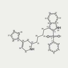 O=S(=O)(c1ccccc1)c1[nH]c2ccccc2c1CCCCC1CC(c2cccs2)=CCN1